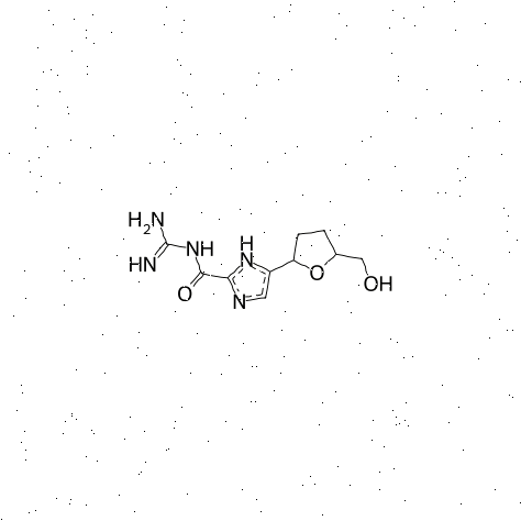 N=C(N)NC(=O)c1ncc(C2CCC(CO)O2)[nH]1